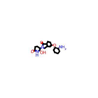 N[C@H]1CCCC[C@@H]1Oc1ccc2c(c1)CN(C1CCC(=O)NC1O)C2=O